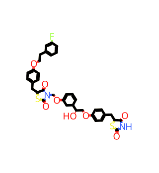 O=C1NC(=O)C(Cc2ccc(OC[C@H](O)C3C=CC=C(OCN4C(=O)SC(Cc5ccc(OCCc6cccc(F)c6)cc5)C4=O)C3)cc2)S1